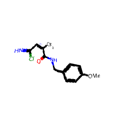 COc1ccc(CNC(=O)/C(=C\C(=N)Cl)C(F)(F)F)cc1